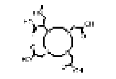 CNCC(C(=O)O)N1CCN(CC(=O)O)CCN(CC(=O)O)CCN(CC(=O)O)CC1